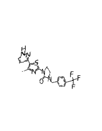 Cc1nc(N2CCN(Cc3ccc(C(F)(F)F)cc3)C2=O)sc1-c1cc[nH]n1